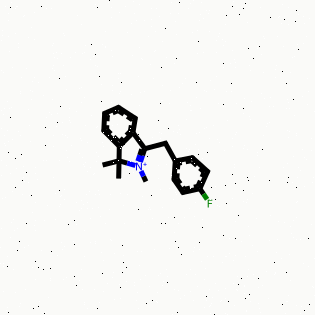 C[N+]1=C(Cc2ccc(F)cc2)c2ccccc2C1(C)C